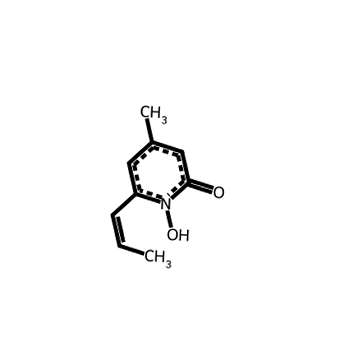 C/C=C\c1cc(C)cc(=O)n1O